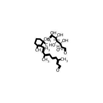 CC(C=CC=C(C)C=CC1=C(C)CCCC1(C)C)=CC=O.O=C[C@H](O)[C@@H](O)[C@H](O)[C@H](O)C(=O)O